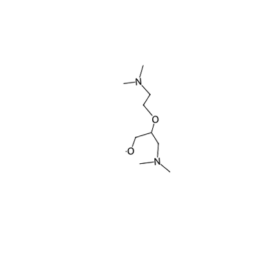 CN(C)CCOC(C[O])CN(C)C